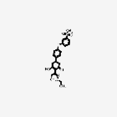 CCON=C(CC)C1=C(O)CC(c2ccc(Oc3cccc(S(C)(=O)=O)c3)cc2)CC1=O